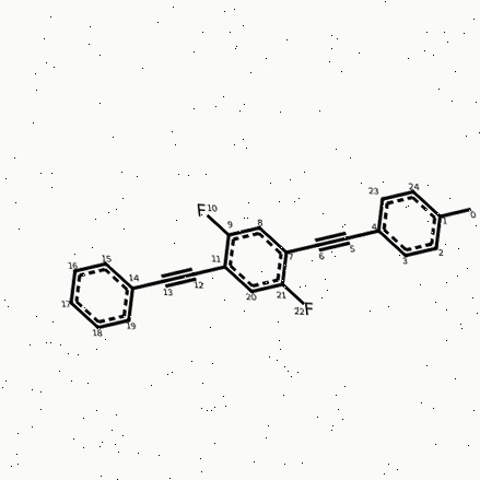 Cc1ccc(C#Cc2cc(F)c(C#Cc3ccccc3)cc2F)cc1